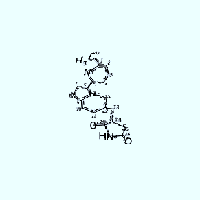 Cc1cccc(-c2cnc3ccc(C=C4SC(=O)NC4=O)cn23)n1